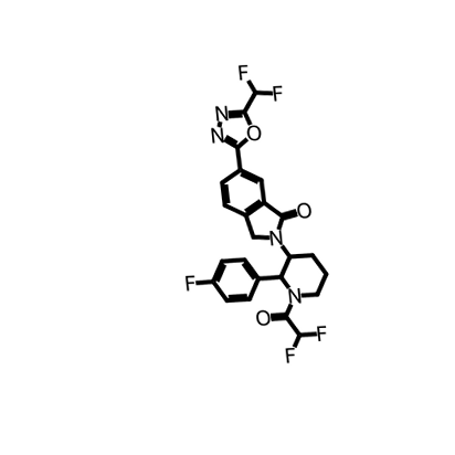 O=C1c2cc(-c3nnc(C(F)F)o3)ccc2CN1C1CCCN(C(=O)C(F)F)C1c1ccc(F)cc1